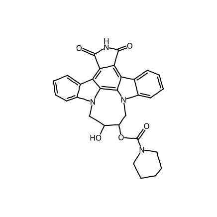 O=C1NC(=O)c2c1c1c3ccccc3n3c1c1c2c2ccccc2n1CC(OC(=O)N1CCCCC1)C(O)C3